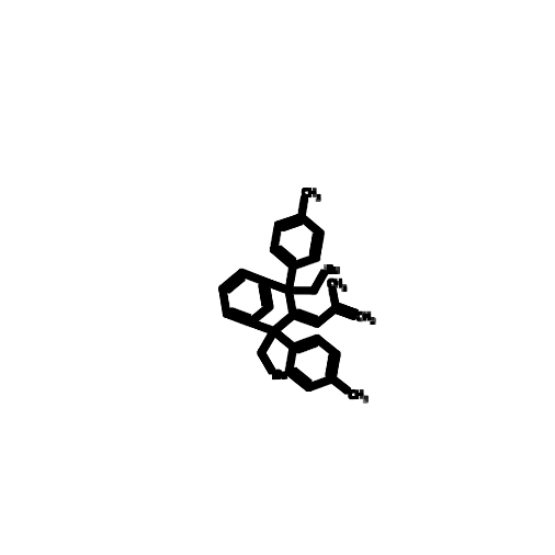 C=C(C)C=C1C(CC(C)CC)(c2ccc(C)cc2)c2cccc(c2)C1(CC(C)CC)c1ccc(C)cc1